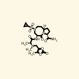 Cc1oc(=O)oc1CN(C)[C@@H](C)C(=O)N[C@H]1CN(S(=O)(=O)C2CC2)CC[C@H]2CC[C@@H](C(N)=O)N2C1=O